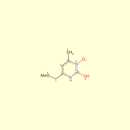 COCc1cc(C)[n+]([O-])c(O)n1